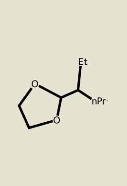 CC[CH]C(CC)C1OCCO1